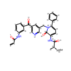 C=CC(=O)Nc1cccc(C(=O)c2cncc(Cn3c(-c4ccccc4)ccc(NC(=O)[C@H](C)NC)c3=O)c2)c1